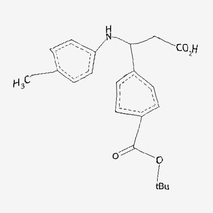 Cc1ccc(NC(CC(=O)O)c2ccc(C(=O)OC(C)(C)C)cc2)cc1